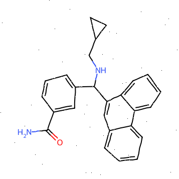 NC(=O)c1cccc(C(NCC2CC2)c2cc3ccccc3c3ccccc23)c1